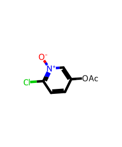 CC(=O)Oc1ccc(Cl)[n+]([O-])c1